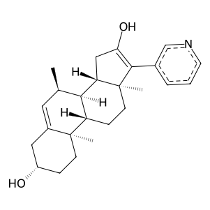 C[C@@H]1C=C2C[C@@H](O)CC[C@]2(C)[C@H]2CC[C@]3(C)C(c4cccnc4)=C(O)C[C@H]3[C@H]12